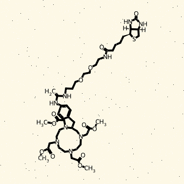 C=C(NCCCOCCOCCNC(=O)CCCC[C@@H]1SC[C@@H]2NC(=O)N[C@@H]21)Nc1ccc(CC2CN(CC(=O)OC)CCN(CC(=O)OC)CCN(CC(=O)OC)CCN2CC(=O)OC)cc1